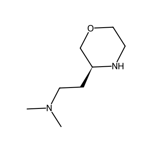 CN(C)CC[C@H]1COCCN1